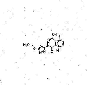 CCSc1nnc(NC(=O)[C@@H]2[C@@H](C(=O)O)[C@H]3C=C[C@@H]2C3)s1